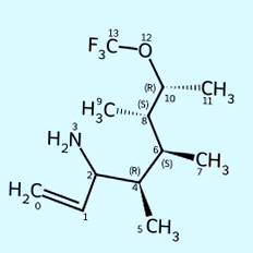 C=CC(N)[C@H](C)[C@H](C)[C@H](C)[C@@H](C)OC(F)(F)F